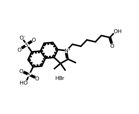 Br.CC1=[N+](CCCCCC(=O)O)c2ccc3c(S(=O)(=O)[O-])cc(S(=O)(=O)O)cc3c2C1(C)C